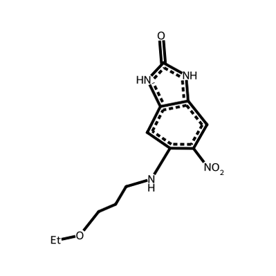 CCOCCCNc1cc2[nH]c(=O)[nH]c2cc1[N+](=O)[O-]